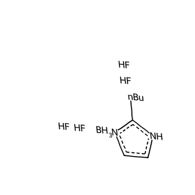 B.CCCCc1ncc[nH]1.F.F.F.F